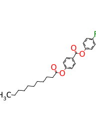 CCCCCCCCCCC(=O)Oc1ccc(C(=O)Oc2ccc(F)cc2)cc1